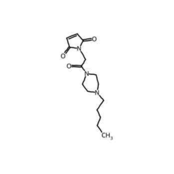 CCCCCN1CCN(C(=O)CN2C(=O)C=CC2=O)CC1